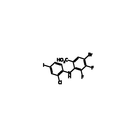 O=C(O)c1cc(Br)c(F)c(F)c1Nc1ccc(I)cc1Cl